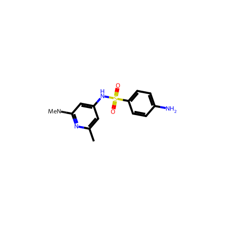 CNc1cc(NS(=O)(=O)c2ccc(N)cc2)cc(C)n1